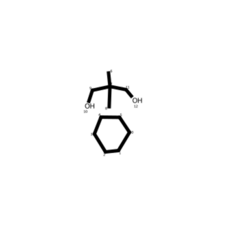 C1CCCCC1.CC(C)(CO)CO